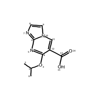 CC(C)Oc1nc2nccn2cc1C(=O)O